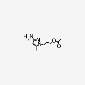 CC(=O)OCCCn1nc(N)cc1C